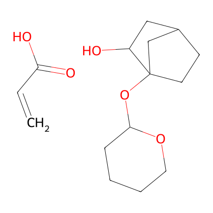 C=CC(=O)O.OC1CC2CCC1(OC1CCCCO1)C2